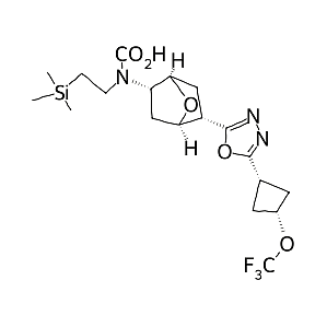 C[Si](C)(C)CCN(C(=O)O)[C@H]1C[C@H]2O[C@@H]1C[C@@H]2c1nnc([C@H]2C[C@@H](OC(F)(F)F)C2)o1